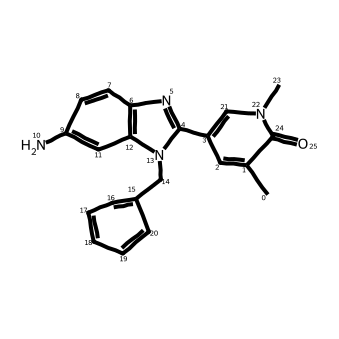 Cc1cc(-c2nc3ccc(N)cc3n2Cc2ccccc2)cn(C)c1=O